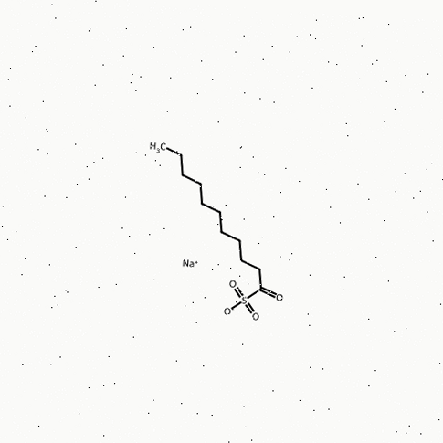 CCCCCCCCCCC(=O)S(=O)(=O)[O-].[Na+]